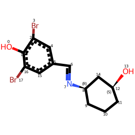 Oc1c(Br)cc(C=N[C@@H]2CCC[C@H](O)C2)cc1Br